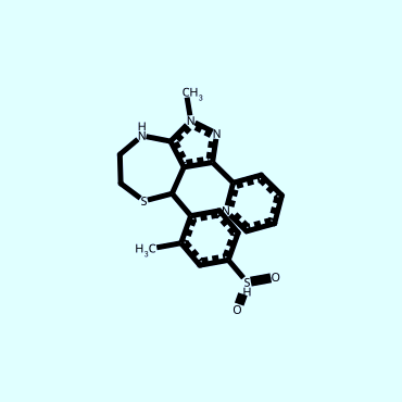 Cc1cc([SH](=O)=O)ccc1C1SCCNc2c1c(-c1ccccn1)nn2C